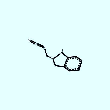 [N-]=[N+]=NC[C@@H]1Cc2ccccc2N1